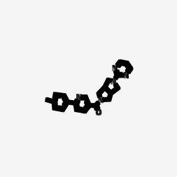 Cc1ccc(-c2ccc(C(=O)N3CC4CN(c5ncccn5)CC4C3)cn2)cc1